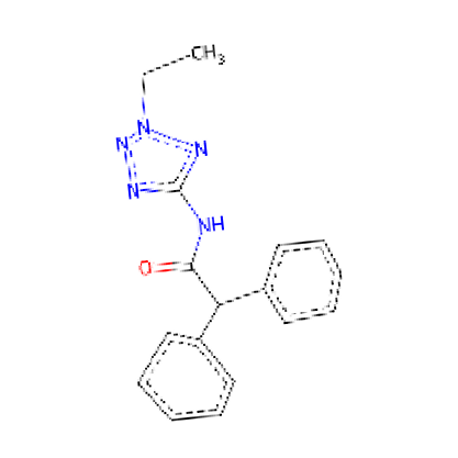 CCn1nnc(NC(=O)C(c2ccccc2)c2ccccc2)n1